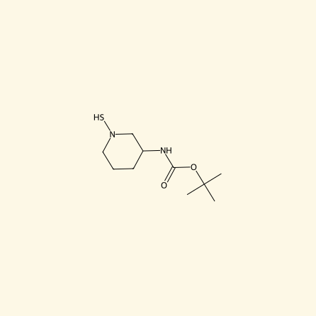 CC(C)(C)OC(=O)NC1CCCN(S)C1